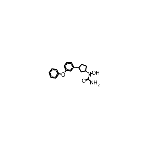 NC(=O)N(O)[C@@H]1CC[C@H](c2cccc(Oc3ccccc3)c2)C1